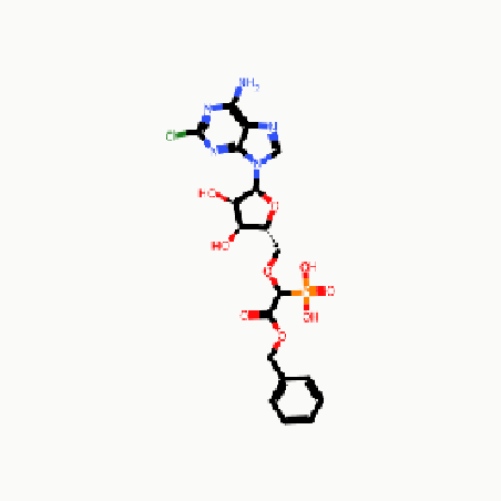 Nc1nc(Cl)nc2c1ncn2C1O[C@H](COC(C(=O)OCc2ccccc2)P(=O)(O)O)[C@@H](O)[C@H]1O